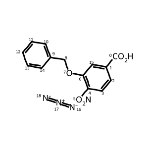 O=C(O)c1ccc([N+](=O)[O-])c(OCc2ccccc2)c1.[N-]=[N+]=[N-]